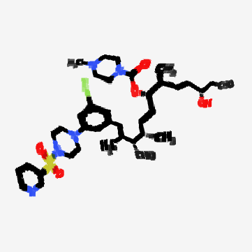 C/C(=C\c1cc(F)cc(N2CCN(S(=O)(=O)c3cccnc3)CC2)c1)[C@@H](C=O)[C@@H](C)/C=C/[C@H](OC(=O)N1CCN(C)CC1)[C@@H](C)CC[C@@H](O)CC=O